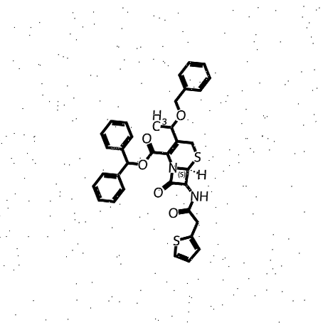 CC(OCc1ccccc1)C1=C(C(=O)OC(c2ccccc2)c2ccccc2)N2C(=O)C(NC(=O)Cc3cccs3)[C@@H]2SC1